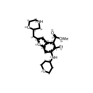 CCc1c(NC2CCOCC2)cc2oc(CC3CNCCO3)cc2c1C(=O)OC